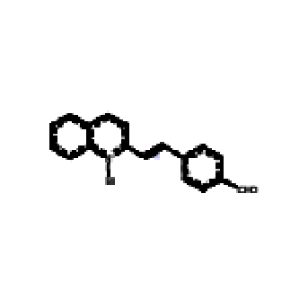 CC[n+]1c(/C=C/c2ccc(C=O)cc2)ccc2ccccc21